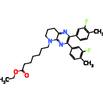 CCOC(=O)CCCCCCN1CCCc2nc(-c3ccc(C)c(F)c3)c(-c3ccc(C)c(F)c3)nc21